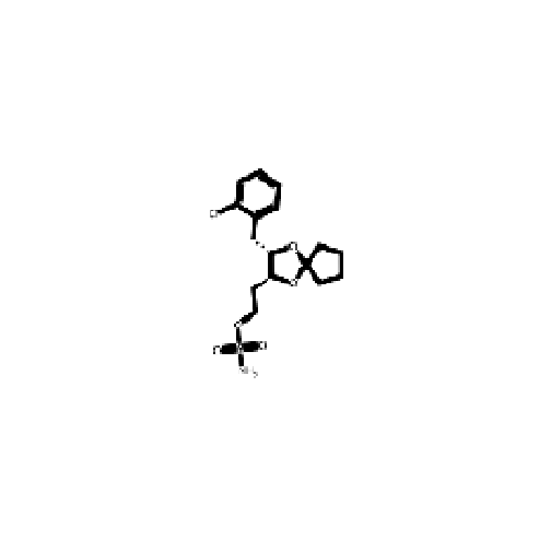 NS(=O)(=O)OCC[C@@H]1OC2(CCCC2)O[C@H]1Cc1ccccc1Cl